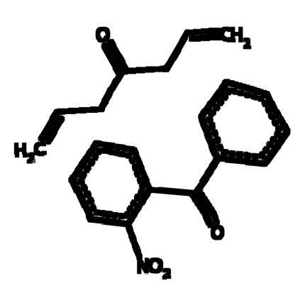 C=CCC(=O)CC=C.O=C(c1ccccc1)c1ccccc1[N+](=O)[O-]